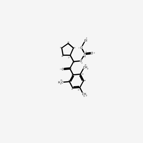 CCO[PH](=O)OC(C(=O)c1c(C)cc(C)cc1C)C1CCCC1